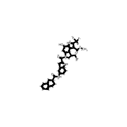 COC(=O)c1c(C(F)(F)F)[nH]c2c(O)cc3c(c12)C(CBr)CN3C(=O)c1cc2cc(NC(=O)c3ccc4ccccc4c3)ccc2[nH]1